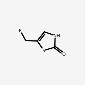 O=c1[nH]cc(CF)s1